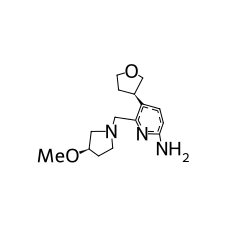 CO[C@@H]1CCN(Cc2nc(N)ccc2[C@H]2CCOC2)C1